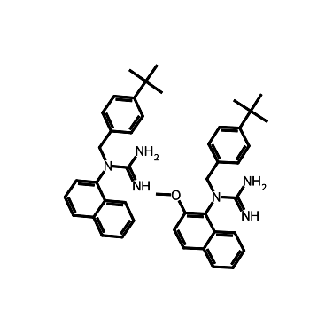 CC(C)(C)c1ccc(CN(C(=N)N)c2cccc3ccccc23)cc1.COc1ccc2ccccc2c1N(Cc1ccc(C(C)(C)C)cc1)C(=N)N